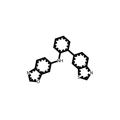 c1ccc(-c2ccc3ncsc3c2)c(Nc2ccc3ncoc3c2)c1